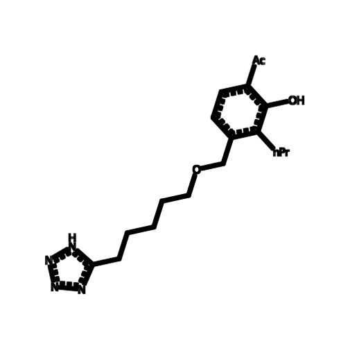 CCCc1c(COCCCCCc2nnn[nH]2)ccc(C(C)=O)c1O